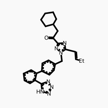 CCC=Cc1nc(C(=O)CC2CCCCC2)nn1Cc1ccc(-c2ccccc2-c2nnn[nH]2)cc1